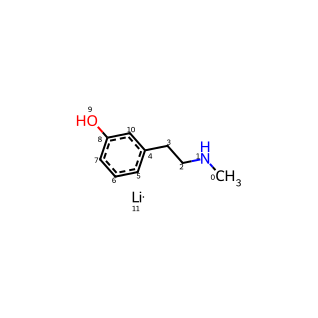 CNCCc1cccc(O)c1.[Li]